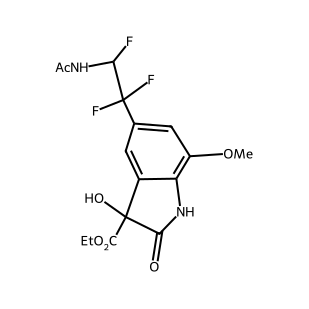 CCOC(=O)C1(O)C(=O)Nc2c(OC)cc(C(F)(F)C(F)NC(C)=O)cc21